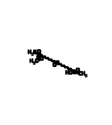 CCC(=O)OCC(O)CCCCCCCCOC(=O)CCCCCCCC(COC(=O)CC)OC(=O)CC